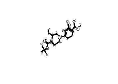 CCC1CN(c2ccc(C(=O)OC)c(F)c2)CCN1C(=O)OC(C)(C)C